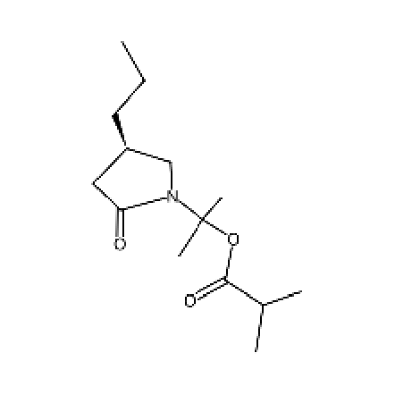 CCC[C@@H]1CC(=O)N(C(C)(C)OC(=O)C(C)C)C1